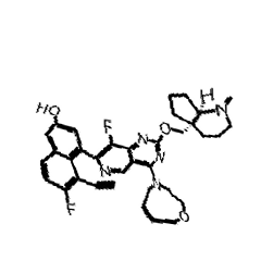 C#Cc1c(F)ccc2cc(O)cc(-c3ncc4c(N5CCCCOCC5)nc(OC[C@]56CCC[C@H]5N(C)CCC6)nc4c3F)c12